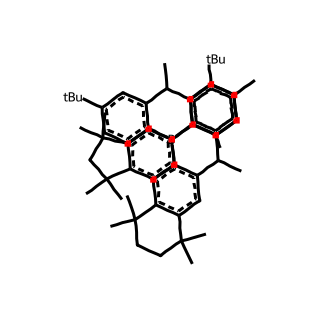 Cc1cc(C)c2c(c1)C(C)c1cc(C(C)(C)C)ccc1B2c1cc2c(cc1C(C)c1ccc(C(C)(C)C)cc1-c1ccc3c(c1)C(C)(C)CC3(C)C)C(C)(C)CCC2(C)C